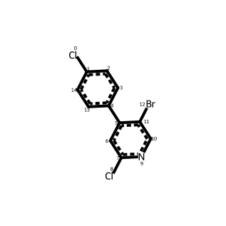 Clc1ccc(-c2cc(Cl)ncc2Br)cc1